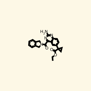 CCOC(=O)C1(c2ccc3nc(N)nc(C(=O)N4Cc5ccccc5C4)c3c2)CC1